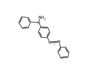 NN(c1ccccc1)c1ccc(/N=N/c2ccccc2)cc1